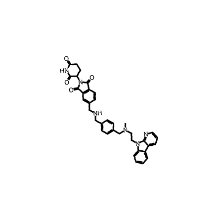 CN(CCn1c2ccccc2c2cccnc21)Cc1ccc(CNCc2ccc3c(c2)C(=O)N(C2CCC(=O)NC2=O)C3=O)cc1